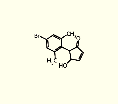 Cc1cc(Br)cc(C)c1C1C(=O)C=CC1O